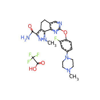 CN1CCN(c2ccc(Oc3ncc4c(n3)-c3c(c(C(N)=O)nn3C)CC4)c(F)c2)CC1.O=C(O)C(F)(F)F